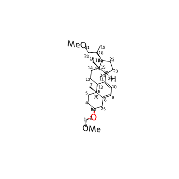 COCO[C@H]1CC[C@@]2(C)C(=CC=C3C2CC[C@]2(C)[C@@H](C(C)COC)CC[C@@H]32)C1